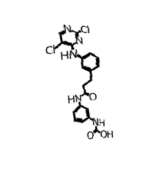 O=C(O)Nc1cccc(NC(=O)CCc2cccc(Nc3nc(Cl)ncc3Cl)c2)c1